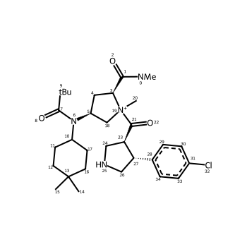 CNC(=O)[C@@H]1C[C@H](N(C(=O)C(C)(C)C)C2CCC(C)(C)CC2)C[N+]1(C)C(=O)[C@@H]1CNC[C@H]1c1ccc(Cl)cc1